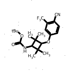 CC(C)(C)OC(=O)NC1C(C)(C)C(Oc2ccc(C#N)c(C(F)(F)F)c2)C1(C)C